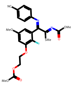 COC(=O)N=C(SC)C(=Nc1ccc(C#N)cc1)c1cc(OC)cc(OCCOC(=O)OC)c1F